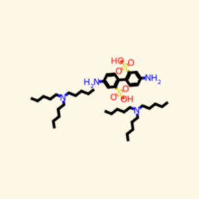 CCCCCN(CCCCC)CCCCC.CCCCCN(CCCCC)CCCCC.Nc1ccc(-c2ccc(N)cc2S(=O)(=O)O)c(S(=O)(=O)O)c1